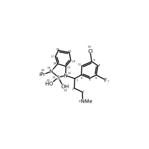 CNCCC(c1cc(F)cc(Cl)c1)N1c2ccccc2N(C(C)C)S1(O)O